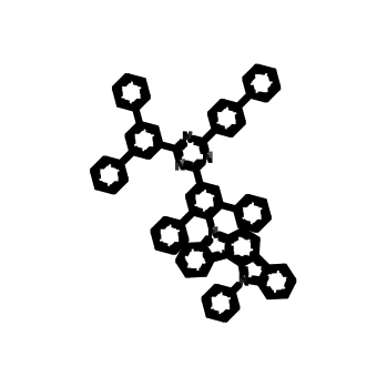 c1ccc(-c2ccc(-c3nc(-c4cc(-c5ccccc5)cc(-c5ccccc5)c4)nc(-c4cc(-c5ccccc5)c(-n5c6ccccc6c6c5ccc5c7ccccc7n(-c7ccccc7)c56)c(-c5ccccc5)c4)n3)cc2)cc1